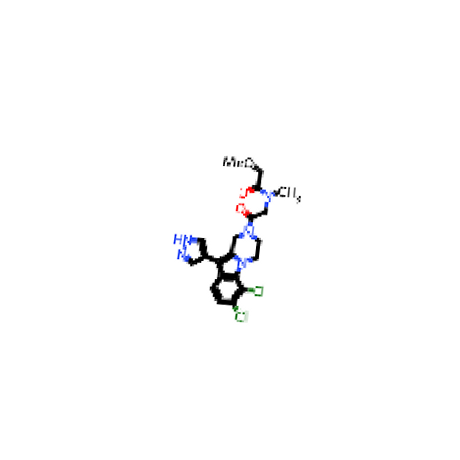 COCC(=O)N(C)CC(=O)N1CCn2c(c(-c3cn[nH]c3)c3ccc(Cl)c(Cl)c32)C1